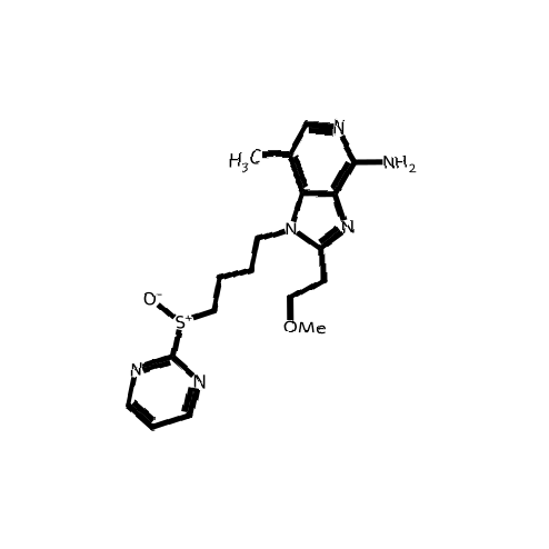 COCCc1nc2c(N)ncc(C)c2n1CCCC[S+]([O-])c1ncccn1